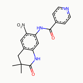 CC1(C)Cc2cc([N+](=O)[O-])c(NC(=O)c3ccncc3)cc2NC1=O